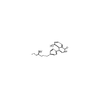 CCCC(=N)CCCc1ccc(-c2c[nH]c(=O)c3cccc(O)c23)cc1